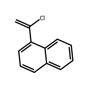 C=C(Cl)c1cccc2ccccc12